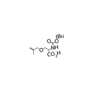 C=C(C)COCC(NC(=O)OC(C)(C)C)C(=O)O